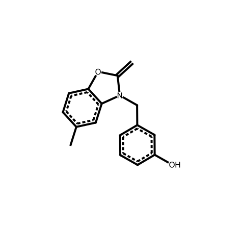 C=C1Oc2ccc(C)cc2N1Cc1cccc(O)c1